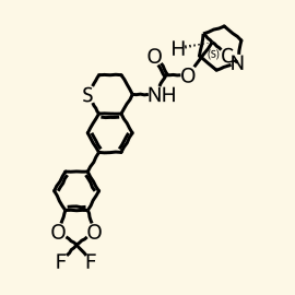 O=C(NC1CCSc2cc(-c3ccc4c(c3)OC(F)(F)O4)ccc21)O[C@@H]1CN2CCC1CC2